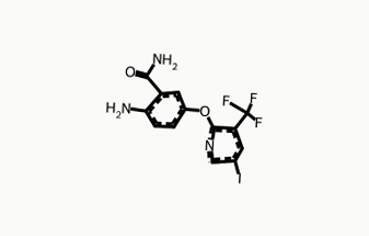 NC(=O)c1cc(Oc2ncc(I)cc2C(F)(F)F)ccc1N